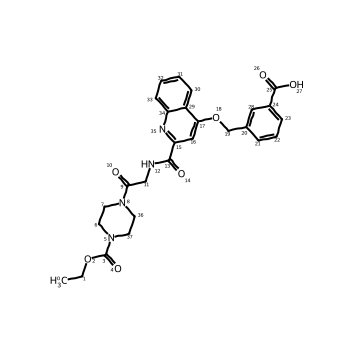 CCOC(=O)N1CCN(C(=O)CNC(=O)c2cc(OCc3cccc(C(=O)O)c3)c3ccccc3n2)CC1